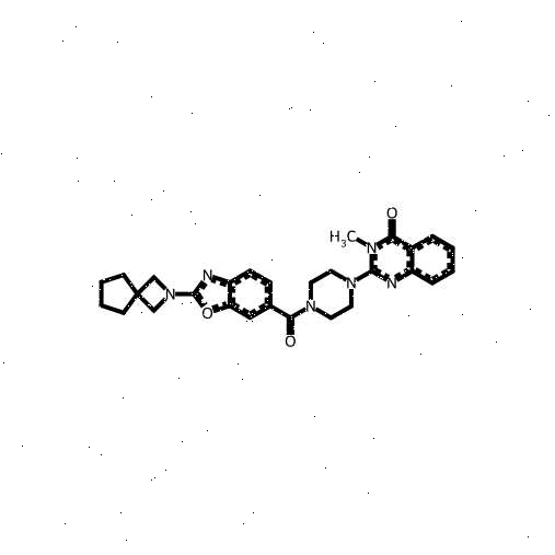 Cn1c(N2CCN(C(=O)c3ccc4nc(N5CC6(CCCC6)C5)oc4c3)CC2)nc2ccccc2c1=O